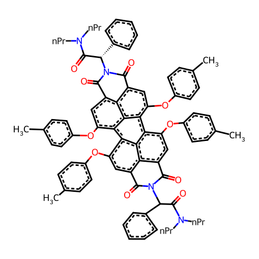 CCCN(CCC)C(=O)C(c1ccccc1)N1C(=O)c2cc(Oc3ccc(C)cc3)c3c4c(Oc5ccc(C)cc5)cc5c6c(cc(Oc7ccc(C)cc7)c(c7c(Oc8ccc(C)cc8)cc(c2c37)C1=O)c64)C(=O)N([C@H](C(=O)N(CCC)CCC)c1ccccc1)C5=O